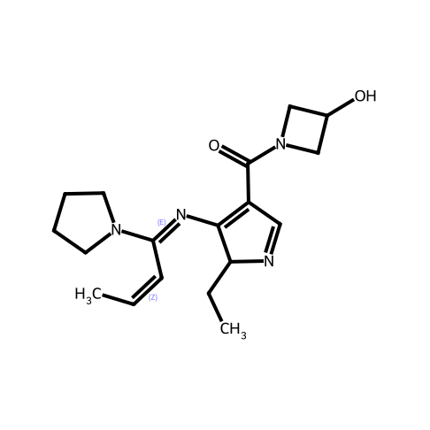 C/C=C\C(=N/C1=C(C(=O)N2CC(O)C2)C=NC1CC)N1CCCC1